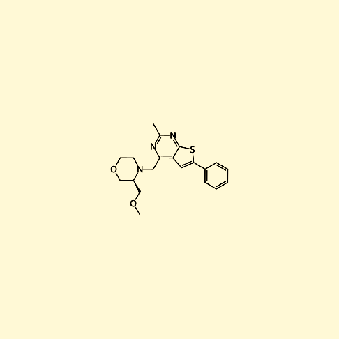 COC[C@H]1COCCN1Cc1nc(C)nc2sc(-c3ccccc3)cc12